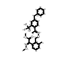 CO/N=C(/C(=O)OC)c1cccc(C)c1CO/N=C(\C)c1ccc(Cc2ccccc2)cc1C(F)(F)F